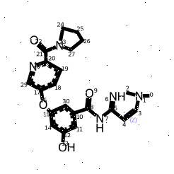 CN(C)/C=C\C(=N)NC(=O)c1cc(O)cc(Oc2ccc(C(=O)N3CCCC3)nc2)c1